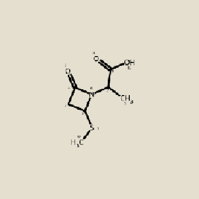 CSC1CC(=O)N1C(C)C(=O)O